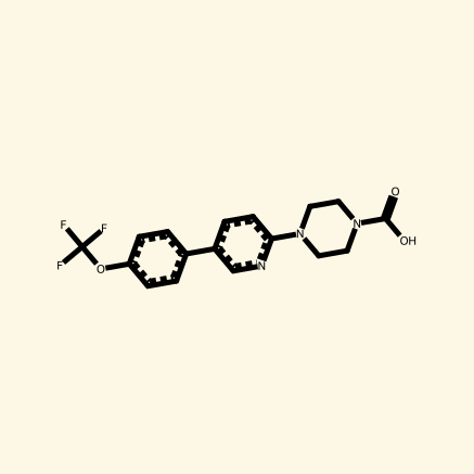 O=C(O)N1CCN(c2ccc(-c3ccc(OC(F)(F)F)cc3)cn2)CC1